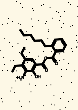 CCCCCCc1ccccc1C(=O)OC(=O)c1cc(CC)c(CC)c(N)c1O